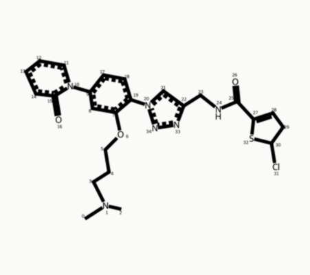 CN(C)CCCOc1cc(-n2ccccc2=O)ccc1-n1cc(CNC(=O)C2=CCC(Cl)S2)nn1